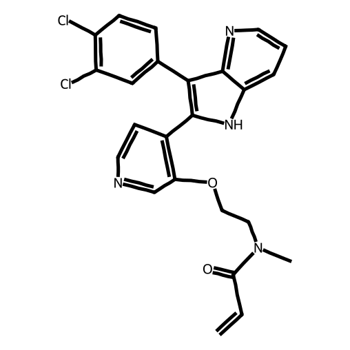 C=CC(=O)N(C)CCOc1cnccc1-c1[nH]c2cccnc2c1-c1ccc(Cl)c(Cl)c1